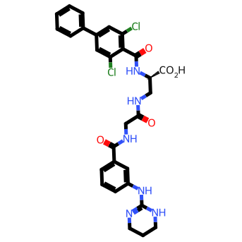 O=C(CNC(=O)c1cccc(NC2=NCCCN2)c1)NC[C@@H](NC(=O)c1c(Cl)cc(-c2ccccc2)cc1Cl)C(=O)O